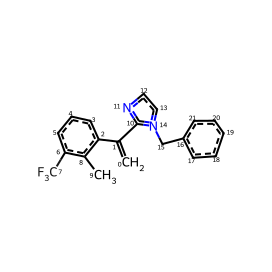 C=C(c1cccc(C(F)(F)F)c1C)c1nccn1Cc1ccccc1